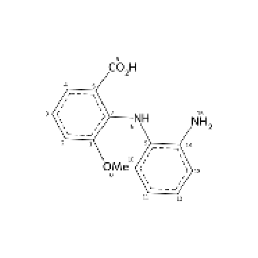 COc1cccc(C(=O)O)c1Nc1ccccc1N